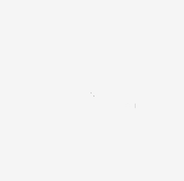 Cc1ccc(-n2cc(CO)c3ccccc32)cc1